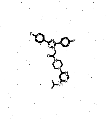 CC(C)Nc1cc(N2CCN(C(=O)Cn3nc(-c4ccc(F)cc4)nc3-c3ccc(F)cc3)CC2)ncn1